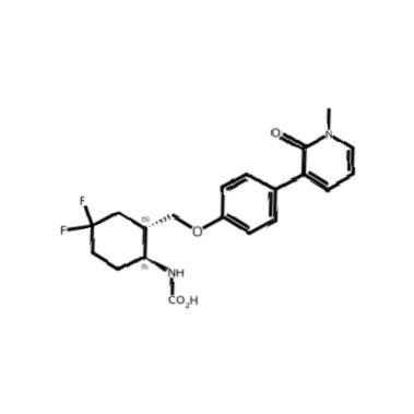 Cn1cccc(-c2ccc(OC[C@H]3CC(F)(F)CC[C@@H]3NC(=O)O)cc2)c1=O